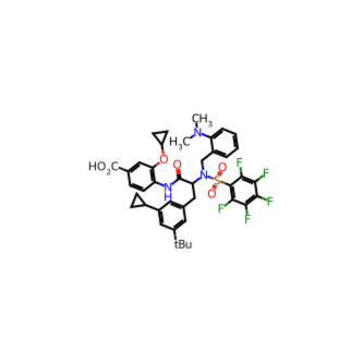 CN(C)c1ccccc1CN(C(Cc1cc(C2CC2)cc(C(C)(C)C)c1)C(=O)Nc1ccc(C(=O)O)cc1OC1CC1)S(=O)(=O)c1c(F)c(F)c(F)c(F)c1F